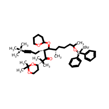 CC(CCC[C@H](C)C(OC1CCCCO1)[C@@H](CCC#C[Si](C)(C)C)C(=O)C(C)(C)[C@@H]1CCOC(C)(C)O1)O[Si](c1ccccc1)(c1ccccc1)C(C)(C)C